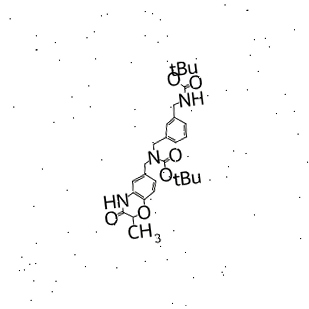 CC1Oc2ccc(CN(Cc3cccc(CNC(=O)OC(C)(C)C)c3)C(=O)OC(C)(C)C)cc2NC1=O